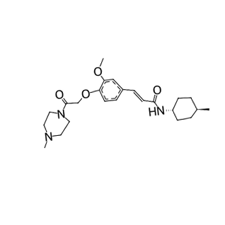 COc1cc(/C=C/C(=O)N[C@H]2CC[C@H](C)CC2)ccc1OCC(=O)N1CCN(C)CC1